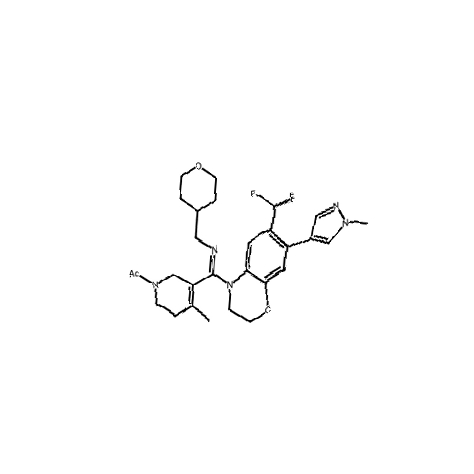 CC(=O)N1CCC(C)=C(/C(=N\CC2CCOCC2)N2CCOc3cc(-c4cnn(C)c4)c(C(F)F)cc32)C1